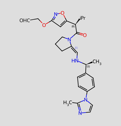 Cc1nccn1-c1ccc([C@H](C)N/C=C2\CCCN2C(=O)[C@@H](c2cc(OCC=O)no2)C(C)C)cc1